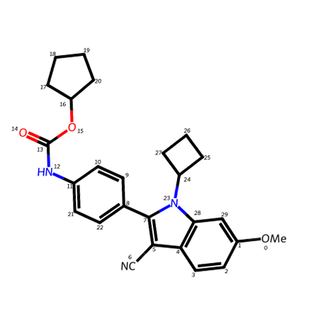 COc1ccc2c(C#N)c(-c3ccc(NC(=O)OC4CCCC4)cc3)n(C3CCC3)c2c1